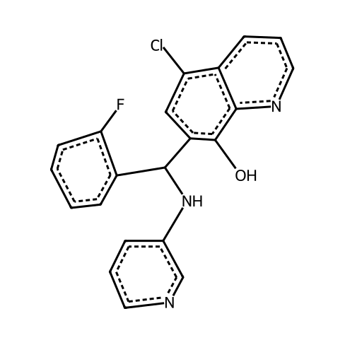 Oc1c(C(Nc2cccnc2)c2ccccc2F)cc(Cl)c2cccnc12